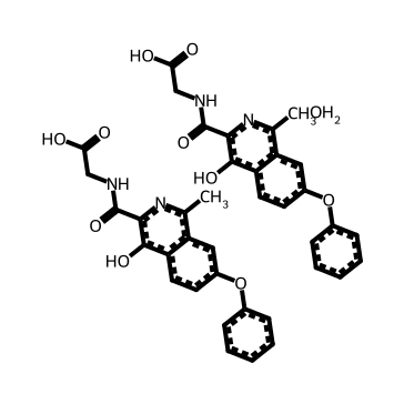 Cc1nc(C(=O)NCC(=O)O)c(O)c2ccc(Oc3ccccc3)cc12.Cc1nc(C(=O)NCC(=O)O)c(O)c2ccc(Oc3ccccc3)cc12.O